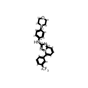 FC(F)(F)c1cccc(-c2cccc3nc(Nc4ccc(N5CCOCC5)cc4)nn23)c1